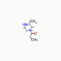 CC(=O)OCC(=O)N1CCN[C@H](C)C1